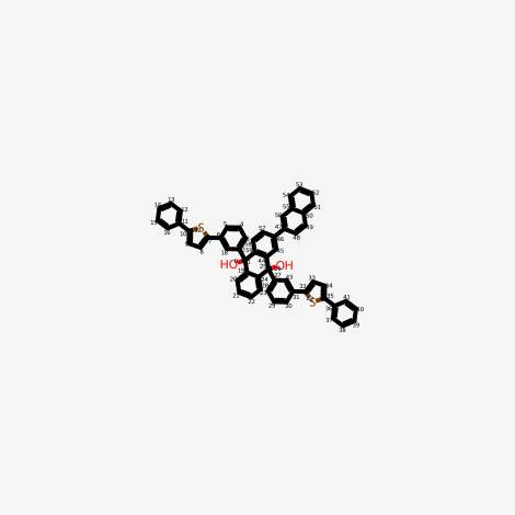 OC1(c2cccc(-c3ccc(-c4ccccc4)s3)c2)c2ccccc2C(O)(c2cccc(-c3ccc(-c4ccccc4)s3)c2)c2cc(-c3ccc4ccccc4c3)ccc21